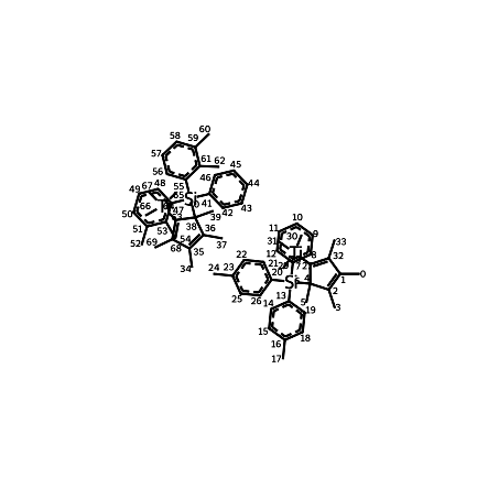 CC1=C(C)C(C)([Si](c2ccccc2)(c2ccc(C)cc2)c2ccc(C)cc2)[C]([Ti]([CH3])([CH3])[CH3])=C1C.CC1=C(C)C(C)([Si](c2ccccc2)(c2cccc(C)c2C)c2cccc(C)c2C)[C]([Ti]([CH3])([CH3])[CH3])=C1C